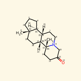 C[C@@]12CCC[C@H]1[C@@H]1CCN3CC(=O)CC[C@]3(C)[C@@H]1CC2